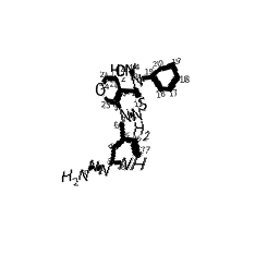 NN=NC1C=C(CN(N)C2=C(C(=S)N(N)c3ccccc3)C(=O)COC2)C=CN1